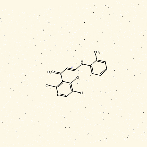 C=C(/C=C/Nc1ccccc1C)c1c(Cl)ncc(Cl)c1Cl